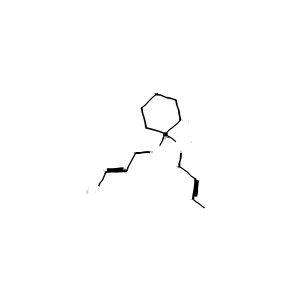 CCCC=CCOC1(OCC=CCCC)CCCCC1